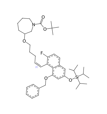 CC(C)[Si](Oc1cc(OCc2ccccc2)c2c(/C=C\CCCOC3CCCCN(C(=O)OC(C)(C)C)C3)c(F)ccc2c1)(C(C)C)C(C)C